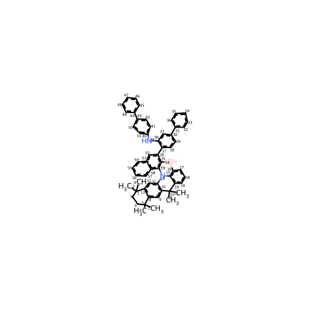 CC1(C)CCC(C)(C)c2cc3c(cc21)N1c2c(cccc2C3(C)C)Bc2c(-c3ccc(-c4ccccc4)cc3Nc3ccc(-c4ccccc4)cc3)cc3ccccc3c21